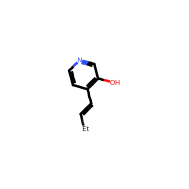 CC/C=C/c1ccncc1O